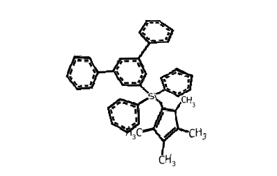 CC1=C(C)C(C)C([Si](c2ccccc2)(c2ccccc2)c2cc(-c3ccccc3)cc(-c3ccccc3)c2)=C1C